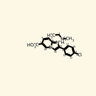 CCNC.O=C(O)c1ccc2nc(-c3ccc(Cl)cc3)cn2c1